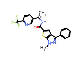 C[C@@H](NC(=O)c1cc2c(-c3ccccc3)nn(C)c2s1)c1ccc(C(F)(F)F)nc1